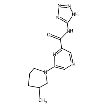 CC1CCCN(c2cncc(C(=O)Nc3nnn[nH]3)n2)C1